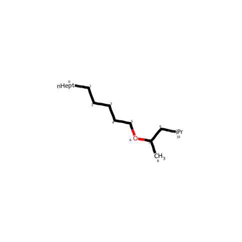 CCCCCCCCCCCCOC(C)CC(C)C